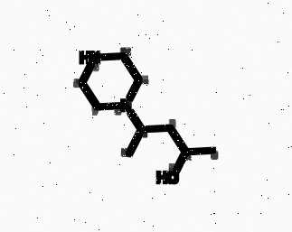 CC(O)CC(C)N1CCNCC1